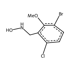 COc1c(Br)ccc(Cl)c1CNO